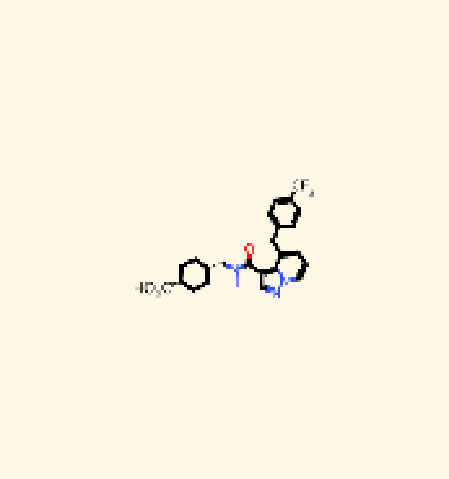 O=C(NC[C@H]1CC[C@H](C(=O)O)CC1)c1cnn2cccc(Cc3ccc(C(F)(F)F)cc3)c12